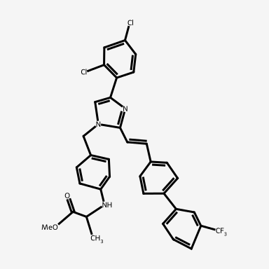 COC(=O)C(C)Nc1ccc(Cn2cc(-c3ccc(Cl)cc3Cl)nc2C=Cc2ccc(-c3cccc(C(F)(F)F)c3)cc2)cc1